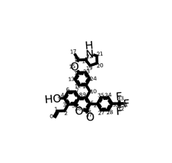 C=CCc1c(O)ccc2c(Cc3ccc(OC(C)C4CCCN4)cc3)c(-c3ccc(C(F)(F)F)cc3)c(=O)oc12